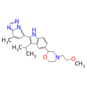 COCCN1CCOC(c2ccc3[nH]c(-c4cc(C)c5ncnn5c4)c(C(C)C)c3c2)C1